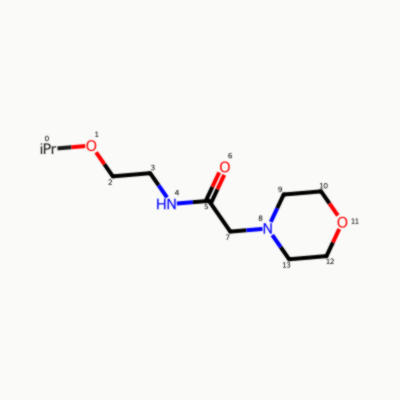 CC(C)OCCNC(=O)CN1CCOCC1